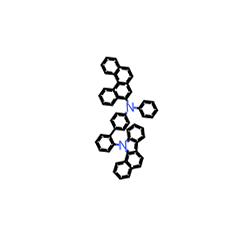 c1ccc(N(c2ccc(-c3ccccc3-n3c4ccccc4c4ccc5ccccc5c43)cc2)c2cc3ccc4ccccc4c3c3ccccc23)cc1